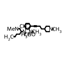 C=CCCC(C(=C)NC)N(C=O)c1cccc(C#CCCC2CCN(C)CC2)c1N(C)C